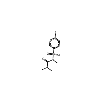 CC(C)C(=O)N(C)S(=O)(=O)c1ccc(F)cc1